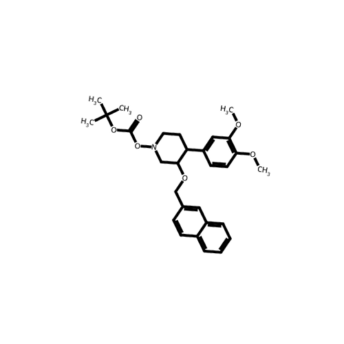 COc1ccc(C2CCN(OC(=O)OC(C)(C)C)CC2OCc2ccc3ccccc3c2)cc1OC